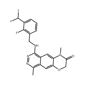 Cc1nnc(NCc2cccc(C(F)F)c2F)c2cc3c(cc12)OCC(=O)N3C